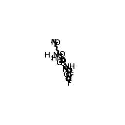 CN(C)C(=O)/C=C/CC[C@H](N)C(=O)Nc1cccn(Cc2nc3c(Oc4ccc(F)cc4F)cccc3[nH]2)c1=O